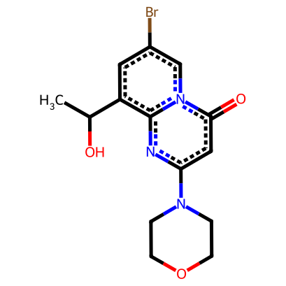 CC(O)c1cc(Br)cn2c(=O)cc(N3CCOCC3)nc12